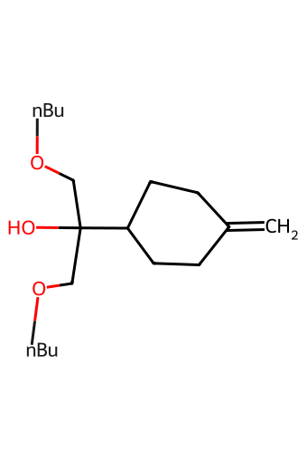 C=C1CCC(C(O)(COCCCC)COCCCC)CC1